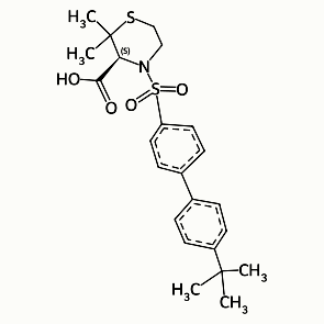 CC(C)(C)c1ccc(-c2ccc(S(=O)(=O)N3CCSC(C)(C)[C@@H]3C(=O)O)cc2)cc1